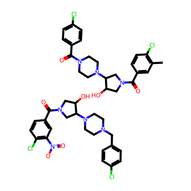 Cc1cc(C(=O)N2CC(O)C(N3CCN(C(=O)c4ccc(Cl)cc4)CC3)C2)ccc1Cl.O=C(c1ccc(Cl)c([N+](=O)[O-])c1)N1CC(O)C(N2CCN(Cc3ccc(Cl)cc3)CC2)C1